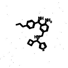 CCCc1ccc(C(=N)c2cc(CNC(c3ccsc3)C3CCC3)ccc2N)cc1